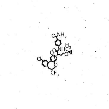 CC1(OCCC(C(=O)Nc2ccc(C(N)=O)cc2)n2cc3c(cc2=O)-c2cc(Cl)ccc2CC(C(F)(F)F)CO3)CC1